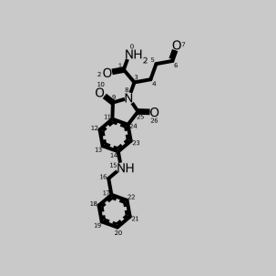 NC(=O)C(CCC=O)N1C(=O)c2ccc(NCc3ccccc3)cc2C1=O